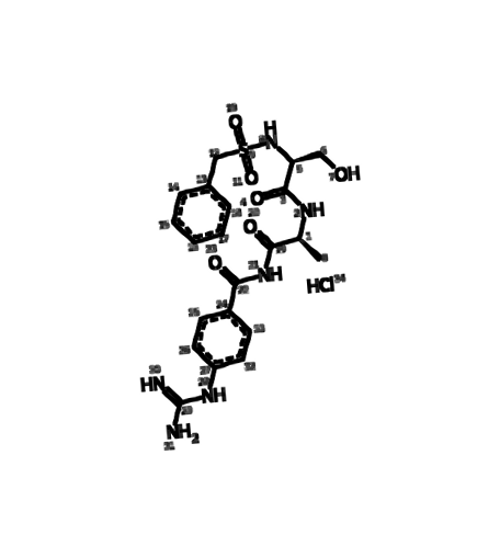 C[C@H](NC(=O)[C@H](CO)NS(=O)(=O)Cc1ccccc1)C(=O)NC(=O)c1ccc(NC(=N)N)cc1.Cl